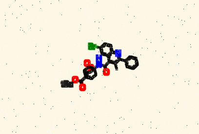 Cc1c(-c2ccccc2)nc2ccc(Br)cc2c1C(=O)NC12CCC(C(=O)OC(C)(C)C)(CC1=O)CC2=O